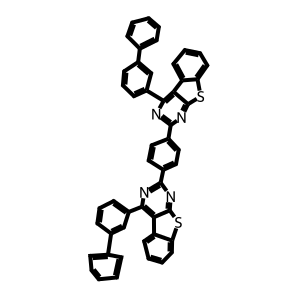 c1ccc(-c2cccc(-c3nc(-c4ccc(-c5nc(-c6cccc(-c7ccccc7)c6)c6c(n5)sc5ccccc56)cc4)nc4sc5ccccc5c34)c2)cc1